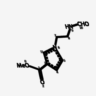 COC(=O)c1ccn(CCNC=O)c1